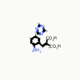 Nc1ccccc1C=C(C(=O)O)C(=O)O.c1ncncn1